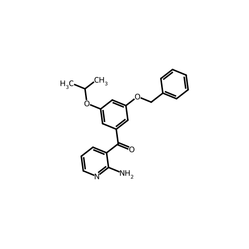 CC(C)Oc1cc(OCc2ccccc2)cc(C(=O)c2cccnc2N)c1